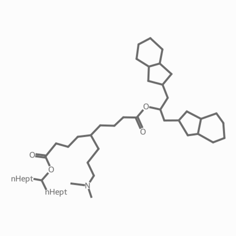 CCCCCCCC(CCCCCCC)OC(=O)CCCC(CCCC(=O)OC(CC1CC2CCCCC2C1)CC1CC2CCCCC2C1)CCCN(C)C